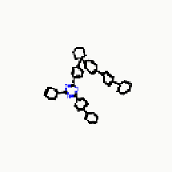 c1ccc(-c2ccc(-c3ccc(C4(c5ccc(-c6nc(-c7ccccc7)nc(-c7ccc(-c8ccccc8)cc7)n6)cc5)CCCCC4)cc3)cc2)cc1